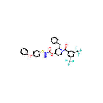 O=C(NSc1ccc(Oc2ccccc2)cc1)O[C@H]1CCN(C(=O)c2cc(C(F)(F)F)cc(C(F)(F)F)c2)[C@H](Cc2ccccc2)C1